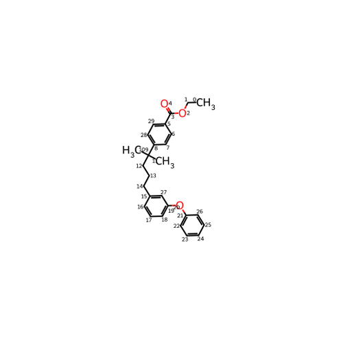 CCOC(=O)c1ccc(C(C)(C)CCCc2cccc(Oc3ccccc3)c2)cc1